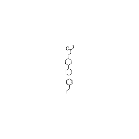 C=CC(=O)CCC1CCC(C2CCC(c3ccc(CCC)cc3)CC2)CC1